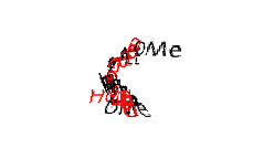 CC[C@H]1O[C@@H](CCC2O[C@@H](CC[C@@]34C[C@H]5O[C@H]6[C@@H](O3)[C@H]3O[C@@H](CC(O)C(C)[C@@H](OC)[C@H](O)C[C@@H](COC(=O)c7ccccc7)OC(=O)c7ccccc7)CC[C@@H]3O[C@H]6[C@H]5O4)CC2(C)C)CC(C)=C1COC(=O)COC